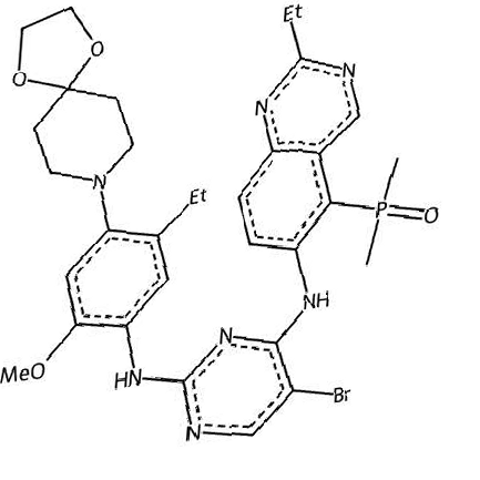 CCc1ncc2c(P(C)(C)=O)c(Nc3nc(Nc4cc(CC)c(N5CCC6(CC5)OCCO6)cc4OC)ncc3Br)ccc2n1